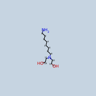 NCCCCCCCCN(CCO)CCO